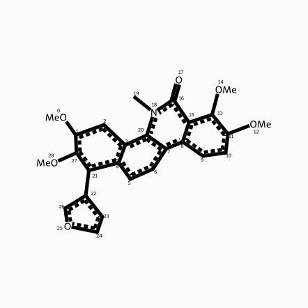 COc1cc2c(ccc3c4ccc(OC)c(OC)c4c(=O)n(C)c23)c(-c2ccoc2)c1OC